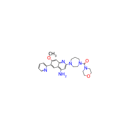 COc1cc2nc(N3CCCN(C(=O)N4CCOCC4)CC3)cc(N)c2cc1-c1ccccn1